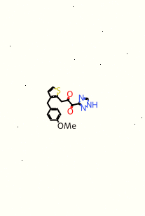 COc1ccc(Cc2ccsc2CC(=O)C(=O)c2nc[nH]n2)cc1